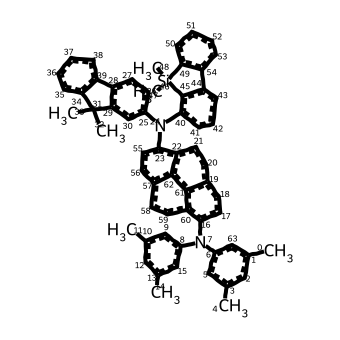 Cc1cc(C)cc(N(c2cc(C)cc(C)c2)c2ccc3ccc4c(N(c5ccc6c(c5)C(C)(C)c5ccccc5-6)c5cccc6c5[Si](C)(C)c5ccccc5-6)ccc5ccc2c3c54)c1